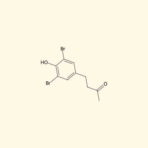 CC(=O)CCc1cc(Br)c(O)c(Br)c1